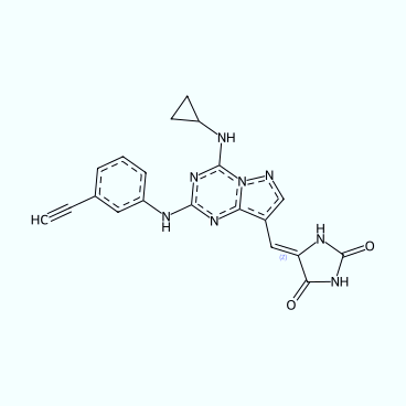 C#Cc1cccc(Nc2nc(NC3CC3)n3ncc(/C=C4\NC(=O)NC4=O)c3n2)c1